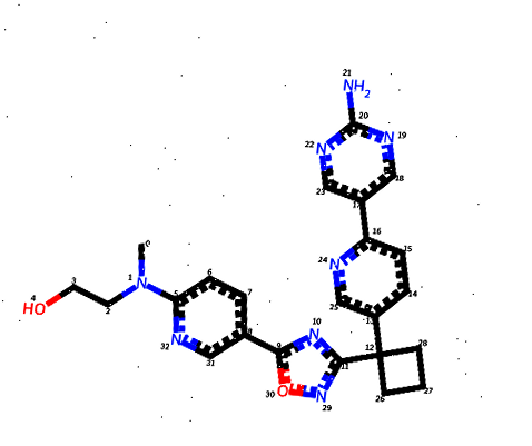 CN(CCO)c1ccc(-c2nc(C3(c4ccc(-c5cnc(N)nc5)nc4)CCC3)no2)cn1